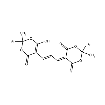 CCCC1(C)OC(=O)C(=CC=CC2=C(O)OC(C)(CCC)OC2=O)C(=O)O1